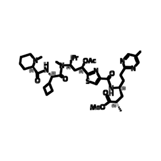 COC(=O)[C@@H](C)C[C@H](CCc1ncc(C)cn1)NC(=O)c1csc([C@@H](C[C@H](C(C)C)N(C)C(=O)[C@@H](NC(=O)[C@H]2CCCCN2C)C2CCC2)OC(C)=O)n1